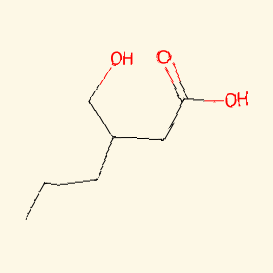 CCCC(CO)CC(=O)O